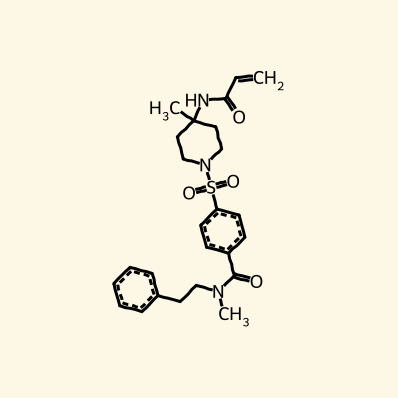 C=CC(=O)NC1(C)CCN(S(=O)(=O)c2ccc(C(=O)N(C)CCc3ccccc3)cc2)CC1